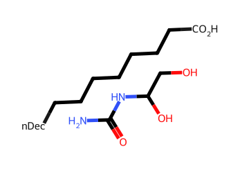 CCCCCCCCCCCCCCCCCC(=O)O.NC(=O)NC(O)CO